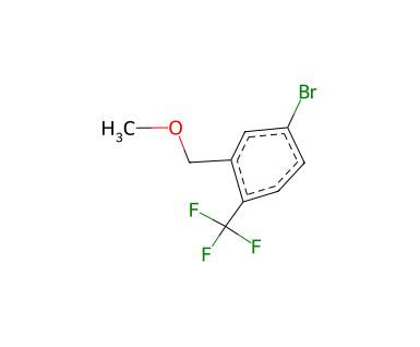 COCc1cc(Br)ccc1C(F)(F)F